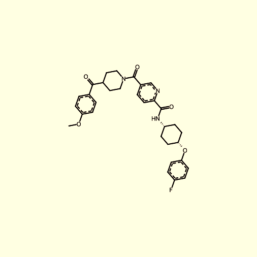 COc1ccc(C(=O)C2CCN(C(=O)c3ccc(C(=O)N[C@H]4CC[C@@H](Oc5ccc(F)cc5)CC4)nc3)CC2)cc1